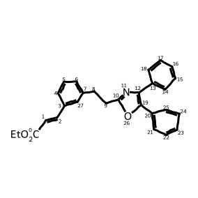 CCOC(=O)C=Cc1cccc(CCc2nc(-c3ccccc3)c(-c3ccccc3)o2)c1